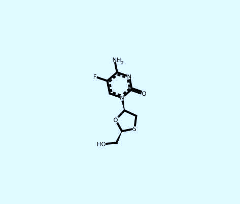 Nc1nc(=O)n([C@H]2CS[C@@H](CO)O2)cc1F